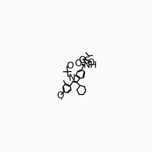 COc1ccc(-c2c(C3CCCCC3)c3ccc(C(=O)NS(=O)(=O)C(C)C)cc3n2CC(C)(C)C=O)c(C)c1